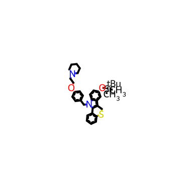 CC(C)(C)[Si](C)(C)Oc1ccc2c(c1)c1c(n2Cc2ccc(OCCN3CCCCC3)cc2)-c2ccccc2SC1